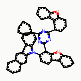 c1ccc(-c2nc(-c3c(-n4c5ccccc5c5cc6ccccc6cc54)ccc4c3oc3ccccc34)nc(-c3cccc4oc5ccccc5c34)n2)cc1